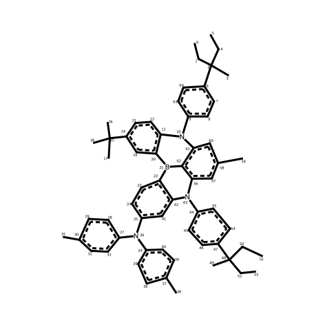 CCC(C)(CC)c1ccc(N2c3ccc(C(C)(C)C)cc3B3c4ccc(N(c5ccc(C)cc5)c5ccc(C)cc5)cc4N(c4ccc(C(C)(CC)CC)cc4)c4cc(C)cc2c43)cc1